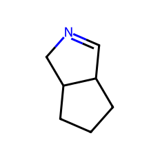 C1=NCC2CCCC12